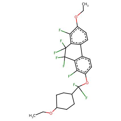 CCOc1ccc2c(c1F)C(F)(F)C(F)(F)c1c-2ccc(OC(F)(F)C2CCC(OCC)CC2)c1F